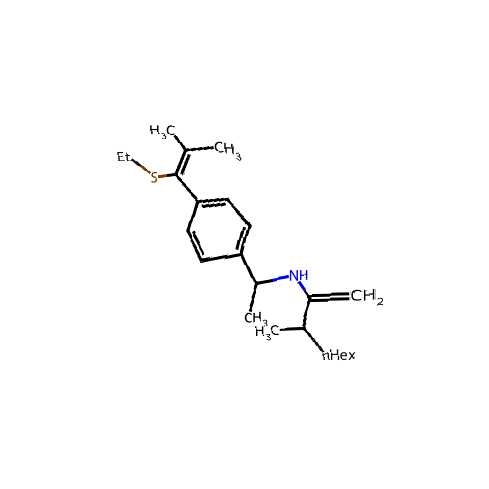 C=C(NC(C)c1ccc(C(SCC)=C(C)C)cc1)C(C)CCCCCC